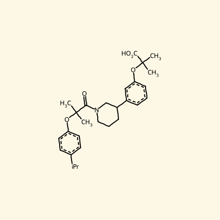 CC(C)c1ccc(OC(C)(C)C(=O)N2CCCC(c3cccc(OC(C)(C)C(=O)O)c3)C2)cc1